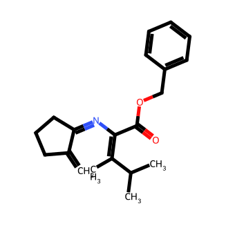 C=C1CCC/C1=N/C(C(=O)OCc1ccccc1)=C(\C)C(C)C